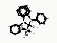 CC(P(c1ccccc1)c1ccccc1)(P(c1ccccc1)c1ccccc1)S(=O)(=O)O